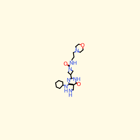 N=Cc1c(NC2CCCCC2)nc(C2CN(C(=O)NCCCN3CCOCC3)C2)[nH]c1=O